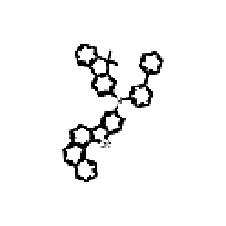 CC1(C)c2ccccc2-c2ccc(N(c3cccc(-c4ccccc4)c3)c3ccc4[se]c5c(ccc6ccc7ccccc7c65)c4c3)cc21